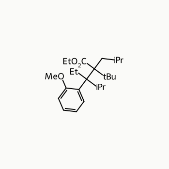 CCOC(=O)C(CC(C)C)(C(C)(C)C)C(CC)(c1ccccc1OC)C(C)C